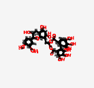 O=C1OC(Cc2c(O)cc(O)c3c2OC(c2ccc(O)c(O)c2)[C@@H](O)C3)OC(=O)c2cc(O)c(O)c(O)c2-c2c1cc(O)c(O)c2O